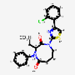 O=C(O)CC1C(=O)N(c2nc(-c3ccccc3Cl)cs2)CCCC(=O)N1c1ccccc1